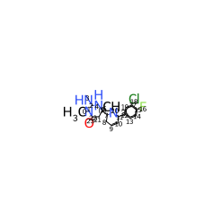 CN1C(=N)N[C@](C)(C2CC=CC(c3ccc(F)c(Cl)c3)=N2)CC1=O